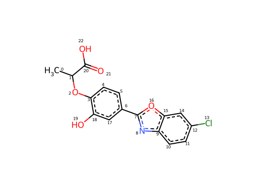 CC(Oc1ccc(-c2nc3ccc(Cl)cc3o2)cc1O)C(=O)O